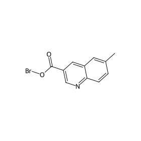 Cc1ccc2ncc(C(=O)OBr)cc2c1